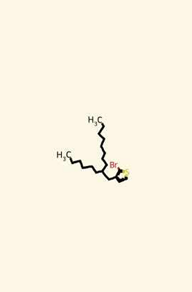 CCCCCCCCC(CCCCCC)Cc1ccsc1Br